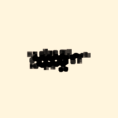 CCCCNCC(=O)Nc1cc(N(C)C)c2c(c1O)C(=O)C1=C(O)[C@]3(O)C(=O)C(C(N)=O)=C(O)C[C@@H]3C[C@@H]1C2